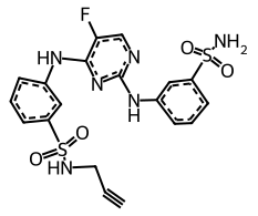 C#CCNS(=O)(=O)c1cccc(Nc2nc(Nc3cccc(S(N)(=O)=O)c3)ncc2F)c1